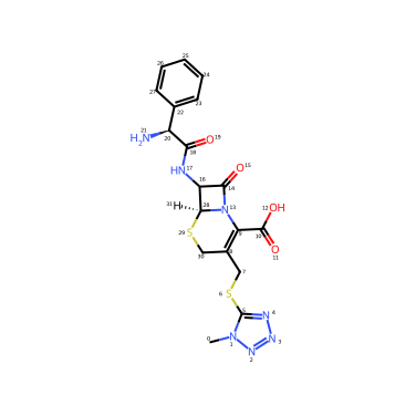 Cn1nnnc1SCC1=C(C(=O)O)N2C(=O)C(NC(=O)[C@@H](N)c3ccccc3)[C@@H]2SC1